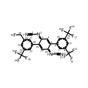 N#C/N=C1C=C(c2cc(C(F)(F)F)cc(C(F)(F)F)c2)/C(=N\C#N)C=C/1c1cc(CF)cc(C(F)(F)F)c1